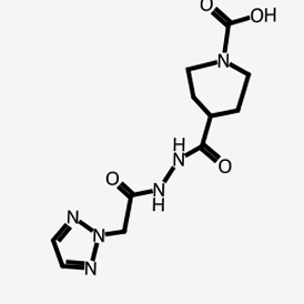 O=C(Cn1nccn1)NNC(=O)C1CCN(C(=O)O)CC1